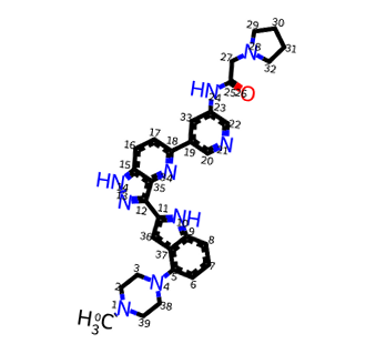 CN1CCN(c2cccc3[nH]c(-c4n[nH]c5ccc(-c6cncc(NC(=O)CN7CCCC7)c6)nc45)cc23)CC1